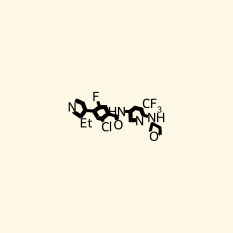 CCc1cnccc1-c1cc(Cl)c(C(=O)Nc2cnc(NC3CCOC3)c(C(F)(F)F)c2)cc1F